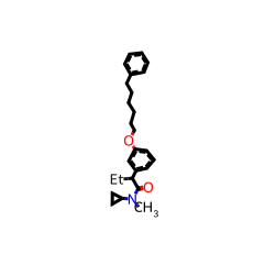 CCC(C(=O)N(C)C1CC1)c1cccc(OCCCCCCc2ccccc2)c1